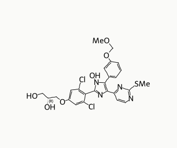 COCOc1cccc(-c2c(-c3ccnc(SC)n3)nc(-c3c(Cl)cc(OC[C@H](O)CO)cc3Cl)n2O)c1